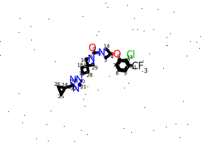 O=C(N1CC(Oc2cccc(C(F)(F)F)c2Cl)C1)N1CC2(CC(n3cnc(C4CC4)n3)C2)C1